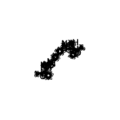 O=C(NC(C(=O)N1CCC[C@H]1c1nc(-c2ccc(-c3ccc(-c4cnc([C@@H]5CCCN5C(=O)C(NC(=O)C5CC5)c5ccccc5)s4)cc3)cc2)no1)c1ccccc1)C1CC1